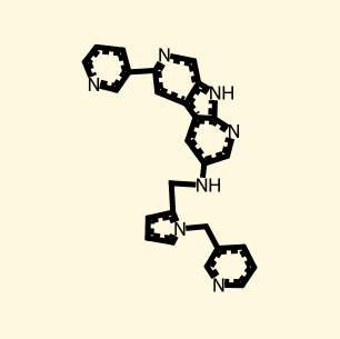 c1cncc(Cn2cccc2CNc2cnc3[nH]c4cnc(-c5cccnc5)cc4c3c2)c1